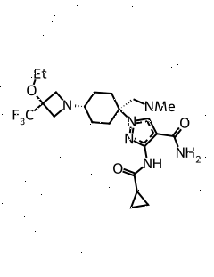 CCOC1(C(F)(F)F)CN([C@H]2CC[C@](CNC)(n3cc(C(N)=O)c(NC(=O)C4CC4)n3)CC2)C1